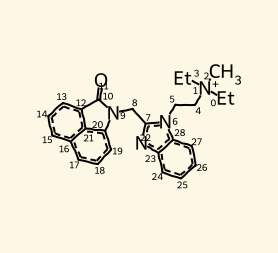 CC[N+](C)(CC)CCn1c(CN2C(=O)c3cccc4cccc2c34)nc2ccccc21